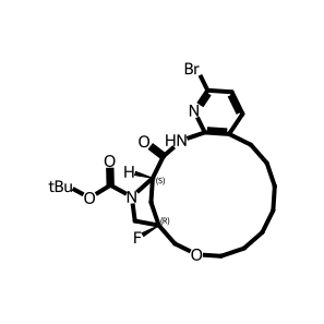 CC(C)(C)OC(=O)N1C[C@@]2(F)COCCCCCCCc3ccc(Br)nc3NC(=O)[C@@H]1C2